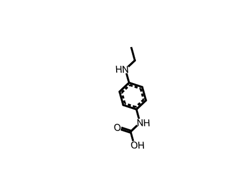 CCNc1ccc(NC(=O)O)cc1